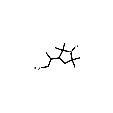 CC(CC(=O)O)C1CC(C)(C)N([O])C1(C)C